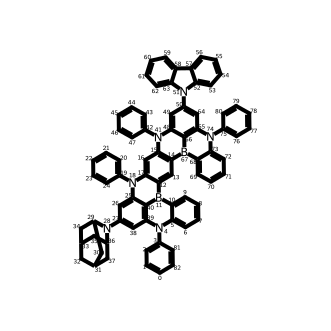 c1ccc(N2c3ccccc3B3c4cc5c(cc4N(c4ccccc4)c4cc(N6C7CC8CC(C7)CC6C8)cc2c43)N(c2ccccc2)c2cc(-n3c4ccccc4c4ccccc43)cc3c2B5c2ccccc2N3c2ccccc2)cc1